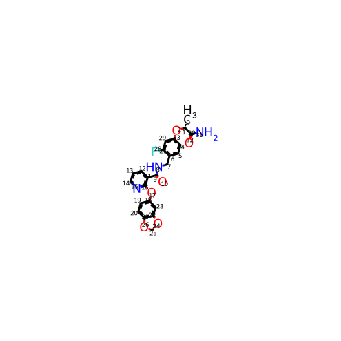 C[C@@H](Oc1ccc(CNC(=O)c2cccnc2Oc2ccc3c(c2)OCO3)c(F)c1)C(N)=O